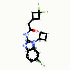 O=C(CC1CC(F)(F)C1)Nc1nc2ccc(Cl)cc2n1C1CCC1